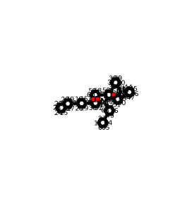 c1ccc(-c2cccc(N(c3ccc(-c4ccc(-c5ccc6ccccc6c5)cc4)cc3)c3ccc(-c4ccccc4-n4c5ccccc5c5ccccc54)cc3-c3ccccc3)c2)cc1